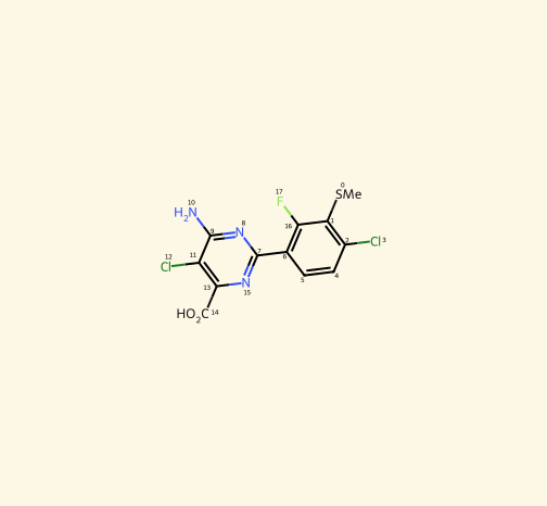 CSc1c(Cl)ccc(-c2nc(N)c(Cl)c(C(=O)O)n2)c1F